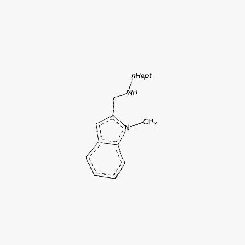 CCCCCCCNCc1cc2ccccc2n1C